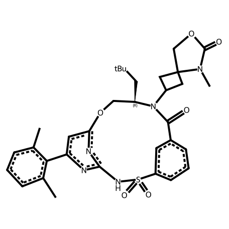 Cc1cccc(C)c1-c1cc2nc(n1)NS(=O)(=O)c1cccc(c1)C(=O)N(C1CC3(COC(=O)N3C)C1)[C@H](CC(C)(C)C)CO2